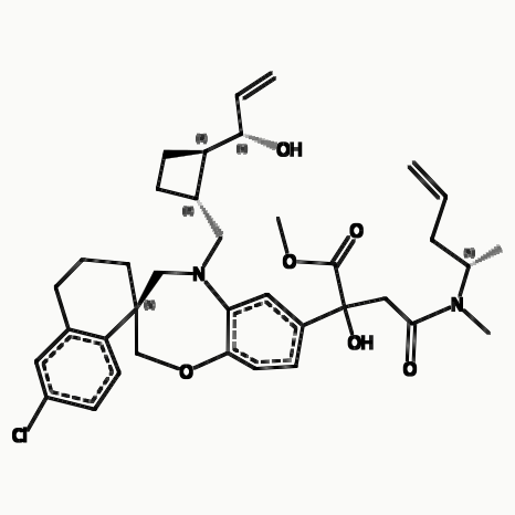 C=CC[C@H](C)N(C)C(=O)CC(O)(C(=O)OC)c1ccc2c(c1)N(C[C@@H]1CC[C@H]1[C@@H](O)C=C)C[C@@]1(CCCc3cc(Cl)ccc31)CO2